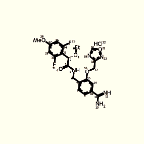 CCO[C@H](C(=O)NCc1ccc(C(=N)N)cc1OCc1ncon1)c1c(F)cc(OC)cc1F.Cl